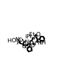 CCC(=O)N(c1c[nH]c2ccccc12)[C@H](C1=NOC(C(=O)N(C)[C@@H](CC(=O)O)C(=O)C=[N+]=[N-])(c2ccccc2)C1)C(C)C